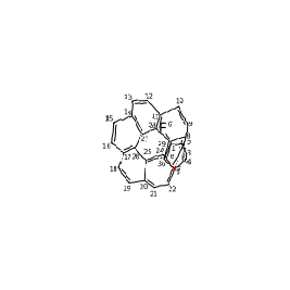 FC1CC=Cc2ccc3ccc4ccc5ccc6ccc7ccccc7c6c5c4c3c21